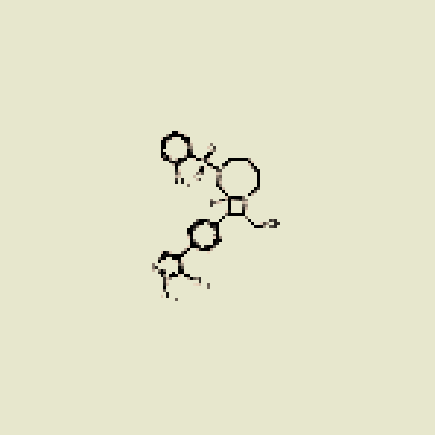 Cc1c(-c2ccc([C@@H]3[C@@H](CO)N4CCCCN(S(=O)(=O)c5ccccc5C(F)(F)F)C[C@@H]34)cc2)cnn1C